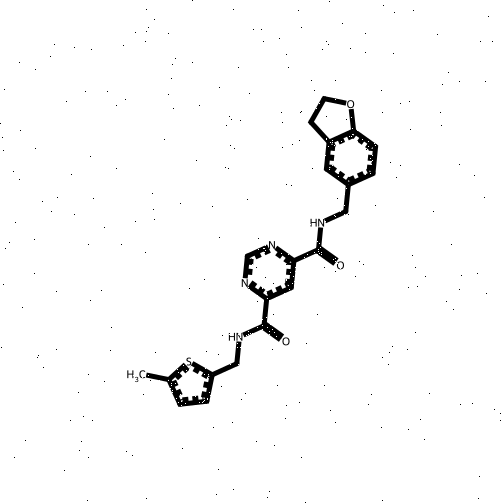 Cc1ccc(CNC(=O)c2cc(C(=O)NCc3ccc4c(c3)CCO4)ncn2)s1